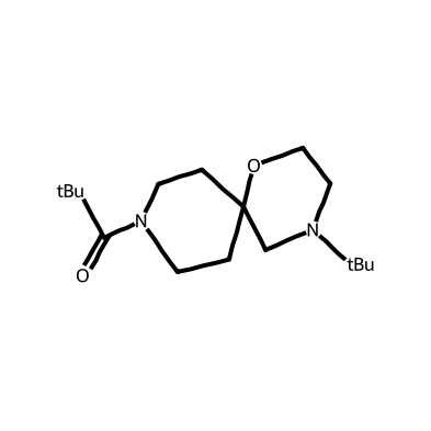 CC(C)(C)C(=O)N1CCC2(CC1)CN(C(C)(C)C)CCO2